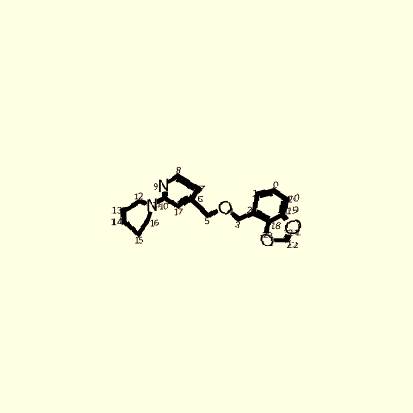 c1cc(COCc2ccnc(N3CCCCC3)c2)c2c(c1)OCO2